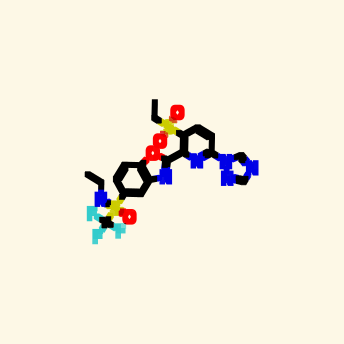 CCN=S(=O)(c1ccc2oc(-c3nc(-n4cncn4)ccc3S(=O)(=O)CC)nc2c1)C(F)(F)F